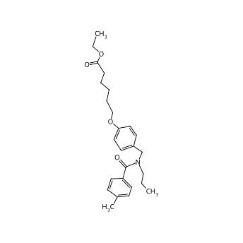 CCCN(Cc1ccc(OCCCCCC(=O)OCC)cc1)C(=O)c1ccc(C)cc1